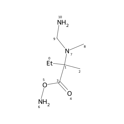 CCC(C)(C(=O)ON)N(C)CN